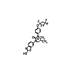 CC(C)CN(C(=O)Nc1ccc(OC(F)(F)CC(F)(F)F)cc1)c1ccc2nc(S)sc2c1